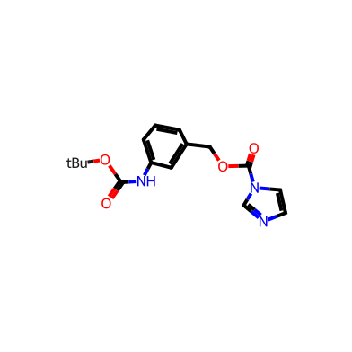 CC(C)(C)OC(=O)Nc1cccc(COC(=O)n2ccnc2)c1